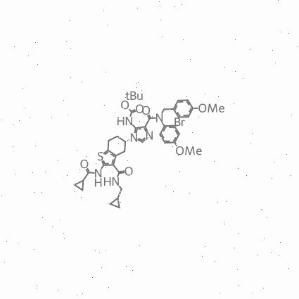 COc1ccc(CN(C(=O)c2ncn([C@H]3CCc4sc(NC(=O)C5CC5)c(C(=O)NCC5CC5)c4C3)c2NC(=O)OC(C)(C)C)c2ccc(OC)cc2Br)cc1